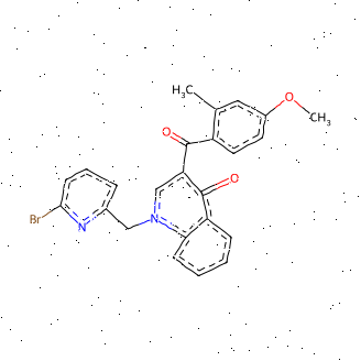 COc1ccc(C(=O)c2cn(Cc3cccc(Br)n3)c3ccccc3c2=O)c(C)c1